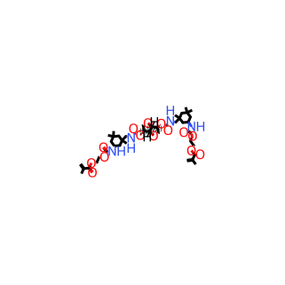 C=C(C)C(=O)OCCOC(=O)NC1CC(C)(C)CC(C)(CNC(=O)O[C@H]2CO[C@H]3[C@@H]2OC[C@H]3OC(=O)NCC2(C)CC(NC(=O)OCCOC(=O)C(=C)C)CC(C)(C)C2)C1